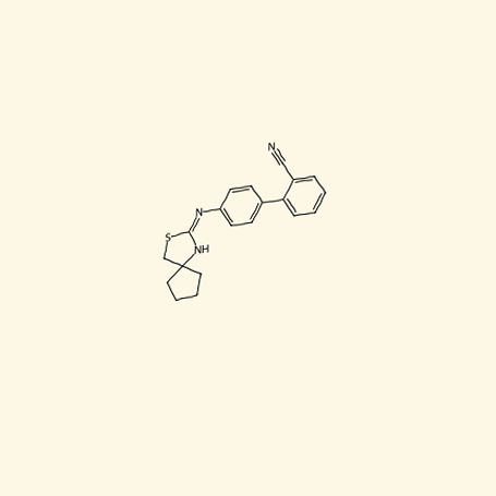 N#Cc1ccccc1-c1ccc(/N=C2\NC3(CCCC3)CS2)cc1